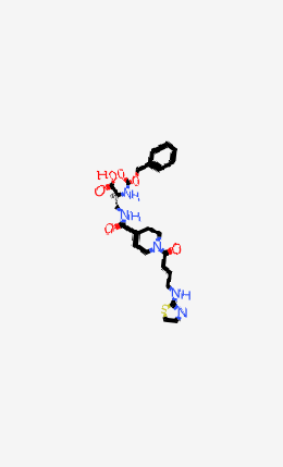 O=C(N[C@H](CNC(=O)C1CCN(C(=O)CCCNC2=NCCS2)CC1)C(=O)O)OCc1ccccc1